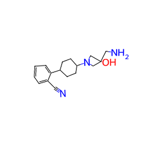 N#Cc1ccccc1C1CCC(N2CC(O)(CN)C2)CC1